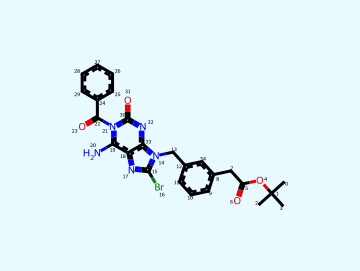 CC(C)(C)OC(=O)Cc1cccc(Cn2c(Br)nc3c(N)n(C(=O)c4ccccc4)c(=O)nc32)c1